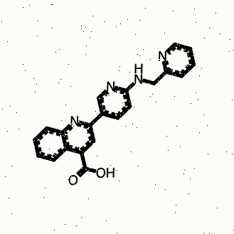 O=C(O)c1cc(-c2ccc(NCc3ccccn3)nc2)nc2ccccc12